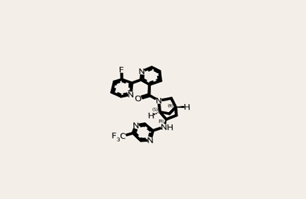 O=C(c1cccnc1-c1ncccc1F)N1C[C@@H]2C[C@@H](Nc3cnc(C(F)(F)F)cn3)[C@@H]1C2